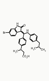 CN(C)Cc1ccc(N/C(=C2\C(=O)Nc3cc(Br)ccc32)c2ccc(N(C)CC(=O)O)cc2)cc1